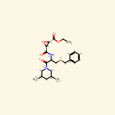 CCOC(=O)[C@H]1O[C@@H]1C(=O)NC(CSCc1ccccc1)C(=O)N1CC(C)CC(C)C1